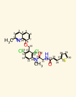 Cc1ccc2cccc(OCc3c(Cl)ccc(N(C)C(=O)CNC(=O)C=Cc4cccs4)c3Cl)c2n1